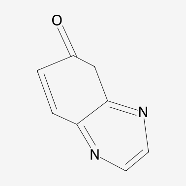 O=C1C=Cc2nccnc2C1